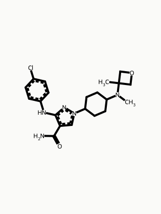 CN(C1CCC(n2cc(C(N)=O)c(Nc3ccc(Cl)cc3)n2)CC1)C1(C)COC1